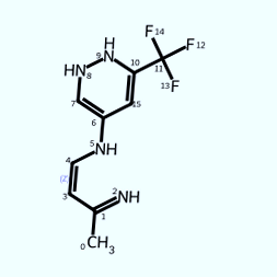 CC(=N)/C=C\NC1=CNNC(C(F)(F)F)=C1